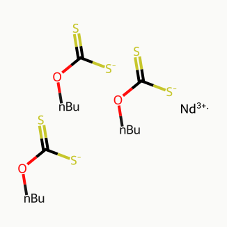 CCCCOC(=S)[S-].CCCCOC(=S)[S-].CCCCOC(=S)[S-].[Nd+3]